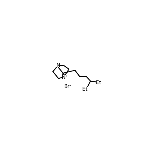 CCC(CC)CCCC1=[N+]2CCN(CC2)C1.[Br-]